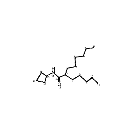 CCCCCCC(CCCCC)C(=O)NC1CCC1